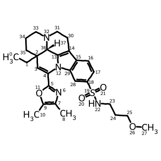 CCC12C=C(c3nc(C)c(C)o3)n3c4c(c5ccc(S(=O)(=O)NCCCOC)cc53)CCN(CCC1)[C@H]42